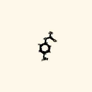 C[CH]C(=O)Oc1ccc(C(C)(C)C)cc1